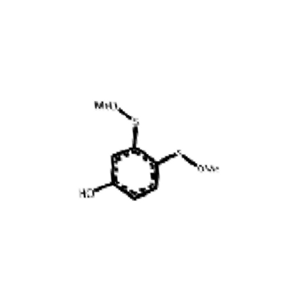 COSc1ccc(O)cc1SOC